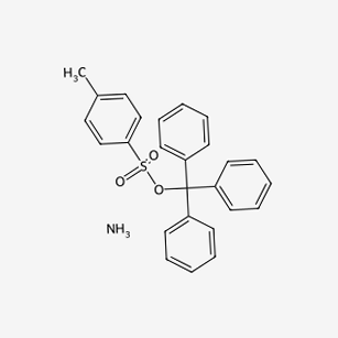 Cc1ccc(S(=O)(=O)OC(c2ccccc2)(c2ccccc2)c2ccccc2)cc1.N